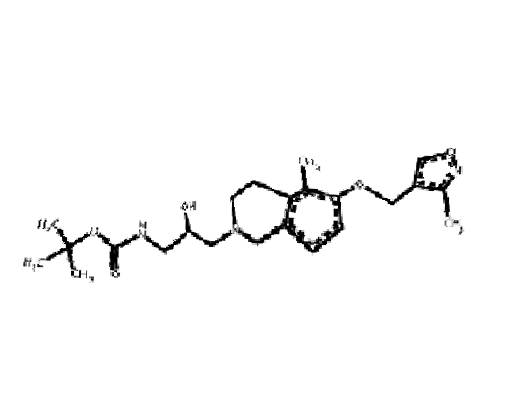 Cc1nocc1COc1ccc2c(c1C)CCN(CC(O)CNC(=O)OC(C)(C)C)C2